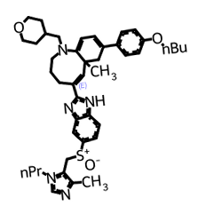 CCCCOc1ccc(C2=CC=C3N(CC4CCOCC4)CCC/C(c4nc5cc([S+]([O-])Cc6c(C)ncn6CCC)ccc5[nH]4)=C\C3(C)C2)cc1